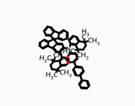 CC1(C)CCC(C)(C)c2c(-c3cc4c(cc3N(c3ccc(-c5ccc(-c6ccccc6)cc5)cc3)c3cccc5c3C(C)(C)CCC5(C)C)C3(c5ccccc5-c5ccccc53)c3ccccc3-4)cccc21